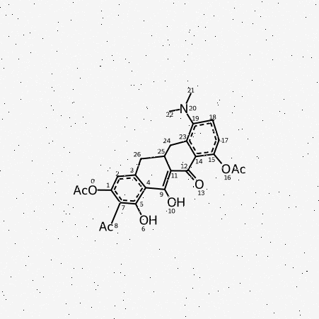 CC(=O)Oc1cc2c(c(O)c1C(C)=O)C(O)=C1C(=O)c3c(OC(C)=O)ccc(N(C)C)c3CC1C2